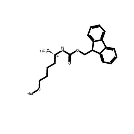 CC(C)(C)OCCCC[C@@H](NC(=O)OCC1c2ccccc2-c2ccccc21)C(=O)O